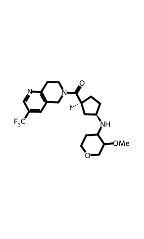 COC1COCCC1N[C@@H]1CC[C@](I)(C(=O)N2CCc3ncc(C(F)(F)F)cc3C2)C1